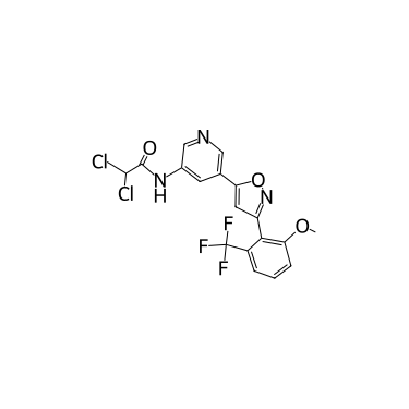 COc1cccc(C(F)(F)F)c1-c1cc(-c2cncc(NC(=O)C(Cl)Cl)c2)on1